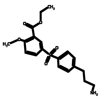 CCOC(=O)c1cc(S(=O)(=O)c2ccc(CCCN)cc2)ccc1OC